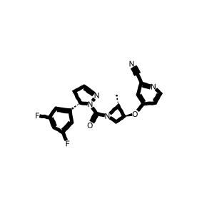 C[C@@H]1[C@@H](Oc2ccnc(C#N)c2)CN1C(=O)N1N=CC[C@H]1c1cc(F)cc(F)c1